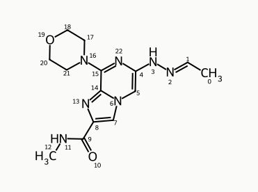 C/C=N/Nc1cn2cc(C(=O)NC)nc2c(N2CCOCC2)n1